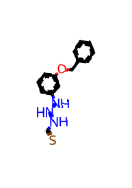 S=CNNNc1cccc(OCc2ccccc2)c1